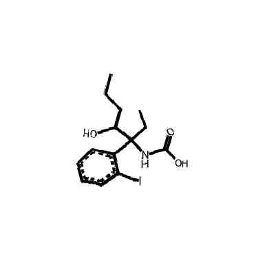 CCCC(O)C(CC)(NC(=O)O)c1ccccc1I